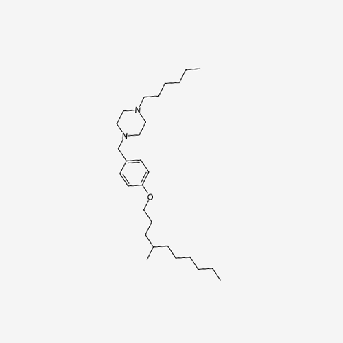 CCCCCCC(C)CCCOc1ccc(CN2CCN(CCCCCC)CC2)cc1